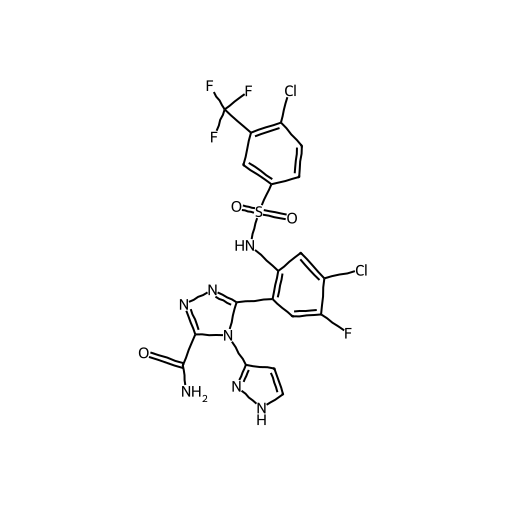 NC(=O)c1nnc(-c2cc(F)c(Cl)cc2NS(=O)(=O)c2ccc(Cl)c(C(F)(F)F)c2)n1-c1cc[nH]n1